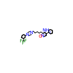 Nc1c(-c2ccccc2)cc[n+]([O-])c1CCCCCN1CCN(c2cccc(C(F)(F)F)c2)CC1